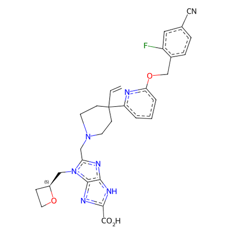 C=CC1(c2cccc(OCc3ccc(C#N)cc3F)n2)CCN(Cc2nc3[nH]c(C(=O)O)nc3n2C[C@@H]2CCO2)CC1